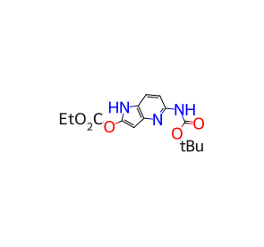 CCOC(=O)Oc1cc2nc(NC(=O)OC(C)(C)C)ccc2[nH]1